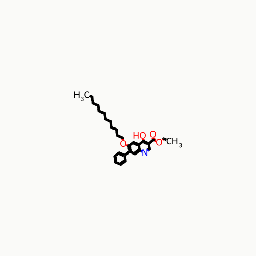 CCCCCCCCCCCCOc1cc2c(O)c(C(=O)OCC)cnc2cc1-c1ccccc1